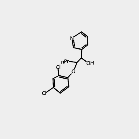 CCCC(Oc1ccc(Cl)cc1Cl)C(O)c1cccnc1